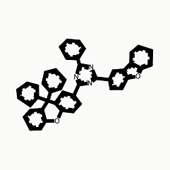 c1ccc(-c2nc(-c3ccc4c(c3)C(c3ccccc3)(c3ccccc3)c3ccccc3O4)nc(-c3ccc4oc5ccccc5c4c3)n2)cc1